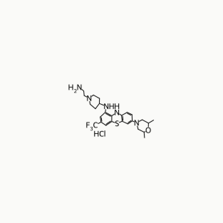 CC1CN(c2ccc3c(c2)Sc2cc(C(F)(F)F)cc(NC4CCN(CCN)CC4)c2N3)CC(C)O1.Cl